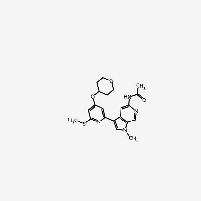 CSc1cc(OC2CCOCC2)cc(-c2cn(C)c3cnc(NC(C)=O)cc23)n1